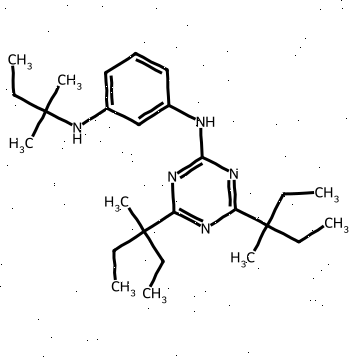 CCC(C)(C)Nc1cccc(Nc2nc(C(C)(CC)CC)nc(C(C)(CC)CC)n2)c1